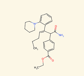 CCCC=C(c1ccccc1N1CCCCC1)C(C(N)=O)c1ccc(C(=O)OCC)cc1